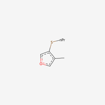 CCCSc1cocc1C